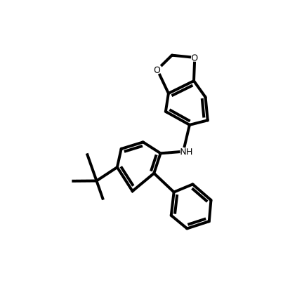 CC(C)(C)c1ccc(Nc2ccc3c(c2)OCO3)c(-c2ccccc2)c1